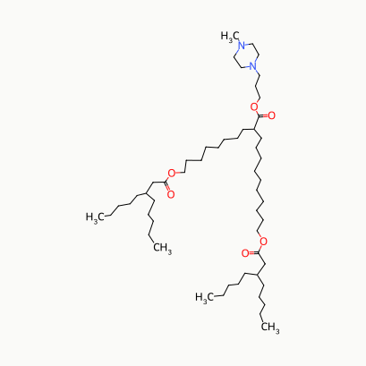 CCCCCC(CCCCC)CC(=O)OCCCCCCCCCCC(CCCCCCCCOC(=O)CC(CCCCC)CCCCC)C(=O)OCCCN1CCN(C)CC1